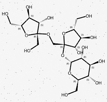 OC[C@H]1O[C@@](CO)(OC[C@@]2(O[C@H]3O[C@H](CO)[C@@H](O)[C@H](O)[C@H]3O)O[C@H](CO)[C@@H](O)[C@@H]2O)[C@@H](O)[C@@H]1O